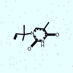 C=CC(C)(C)n1cc(C)c(=O)[nH]c1=O